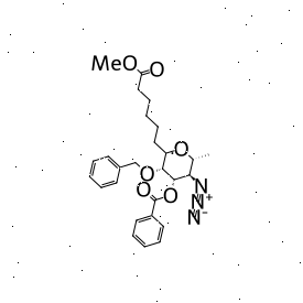 COC(=O)CCCCC[C]1O[C@H](C)[C@@H](N=[N+]=[N-])[C@H](OC(=O)c2ccccc2)[C@@H]1OCc1ccccc1